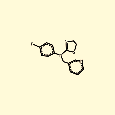 Fc1ccc(N(Cc2cccnc2)C2=NCCS2)cc1